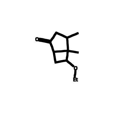 CCOC1CC2C(=O)CC(C)C12C